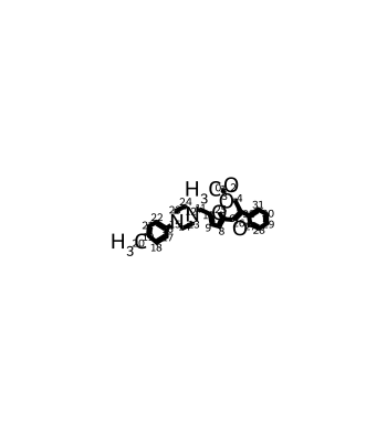 CC(=O)OCc1c(-c2ccc(CN3CCN(c4ccc(C)cc4)CC3)o2)oc2ccccc12